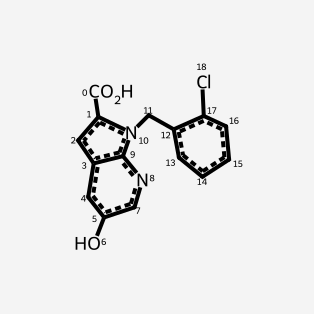 O=C(O)c1cc2cc(O)cnc2n1Cc1ccccc1Cl